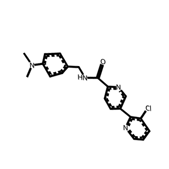 CN(C)c1ccc(CNC(=O)c2ccc(-c3ncccc3Cl)cn2)cc1